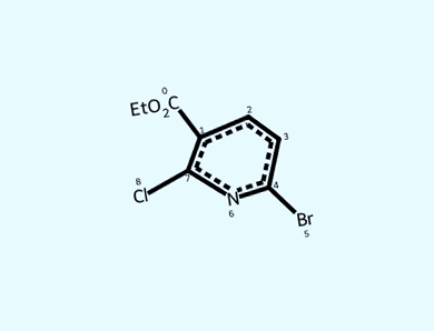 CCOC(=O)c1ccc(Br)nc1Cl